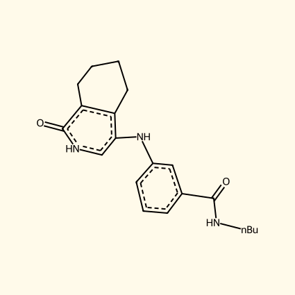 CCCCNC(=O)c1cccc(Nc2c[nH]c(=O)c3c2CCCC3)c1